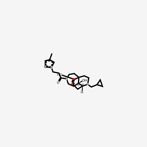 Cc1cnn(CCC(=O)N2CCC34CCN(CC5CC5)[C@H](Cc5ccc(O)cc53)[C@]4(O)CC2)c1